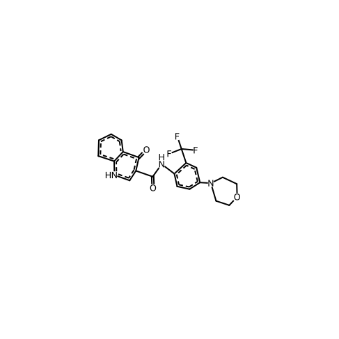 O=C(Nc1ccc(N2CCOCC2)cc1C(F)(F)F)c1c[nH]c2ccccc2c1=O